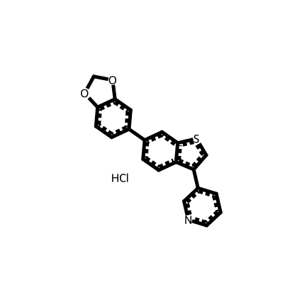 Cl.c1cncc(-c2csc3cc(-c4ccc5c(c4)OCO5)ccc23)c1